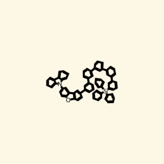 c1ccc([Si](c2ccccc2)(c2ccccc2)c2cccc(-c3cccc(-c4cccc(-c5cccc(-c6cccc(-c7ccc8oc9ccc(-n%10c%11ccccc%11c%11ccccc%11%10)cc9c8c7)c6)c5)c4)c3)c2)cc1